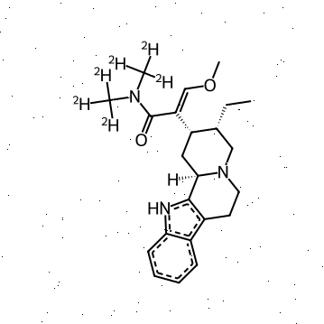 [2H]C([2H])([2H])N(C(=O)/C(=C/OC)[C@H]1C[C@@H]2c3[nH]c4ccccc4c3CCN2C[C@H]1CC)C([2H])([2H])[2H]